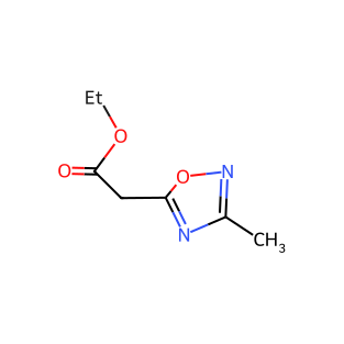 CCOC(=O)Cc1nc(C)no1